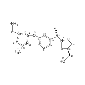 NCc1cc(Oc2cccc(C(=O)N3CC[C@@H](CO)C3)c2)nc(C(F)(F)F)c1